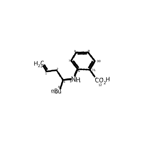 C=CCC(CCCC)Nc1ccccc1C(=O)O